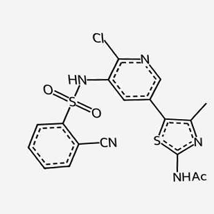 CC(=O)Nc1nc(C)c(-c2cnc(Cl)c(NS(=O)(=O)c3ccccc3C#N)c2)s1